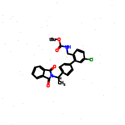 C[C@H](c1ccc(-c2cc(Cl)ccc2CNC(=O)OC(C)(C)C)cc1)N1C(=O)c2ccccc2C1=O